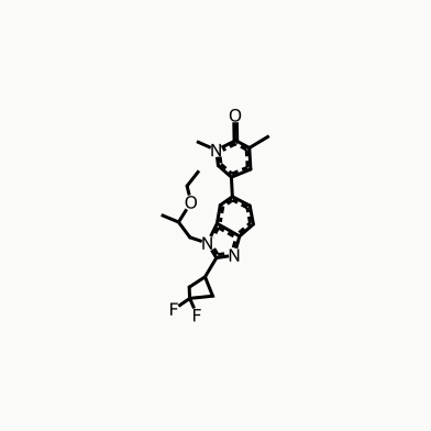 CCOC(C)Cn1c(C2CC(F)(F)C2)nc2ccc(-c3cc(C)c(=O)n(C)c3)cc21